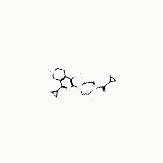 CCC[C@@H]1CN(c2nc(C3CC3)c3c(c2C#N)CCNC3)CCN1C(=O)C1CC1